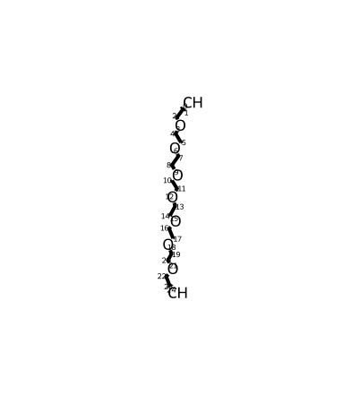 C#CCOCCOCCOCCOCCOCCOCCOCC#C